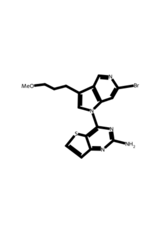 COCCCc1cn(-c2nc(N)nc3ccsc23)c2cc(Br)ncc12